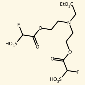 CCOC(=O)CN(CCOC(=O)C(F)S(=O)(=O)O)CCOC(=O)C(F)S(=O)(=O)O